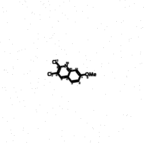 COc1ccc2cc(Cl)c(Cl)nc2c1